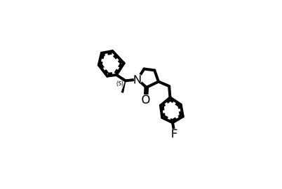 C[C@@H](c1ccccc1)N1CCC(Cc2ccc(F)cc2)C1=O